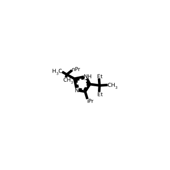 CCCC(C)(C)c1nc(C(C)C)c(C(C)(CC)CC)[nH]1